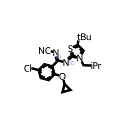 CC(C)Cn1cc(C(C)(C)C)s/c1=N\C(=N\C#N)c1cc(Cl)ccc1OC1CC1